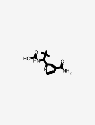 CC(C)(C)C(NC(=O)O)c1cc(C(N)=O)ccn1